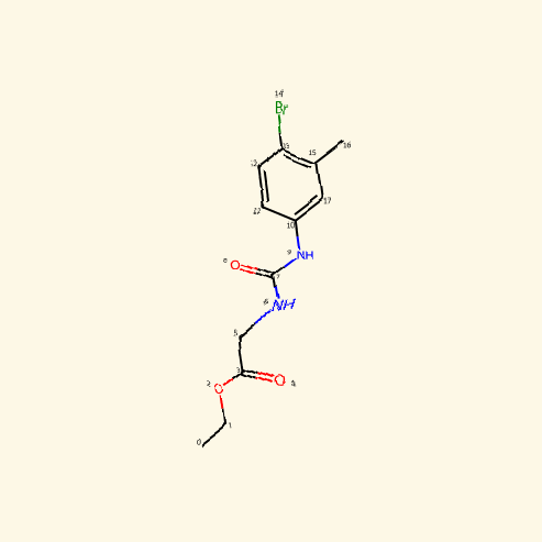 CCOC(=O)CNC(=O)Nc1ccc(Br)c(C)c1